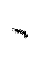 O=C(N[C@H]1CC[C@H](c2nnc([C@H]3C[C@@H](OC(F)(F)F)C3)o2)OC1)c1cc2ccc(Cl)cc2cn1